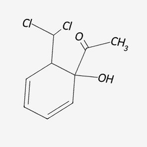 CC(=O)C1(O)C=CC=CC1C(Cl)Cl